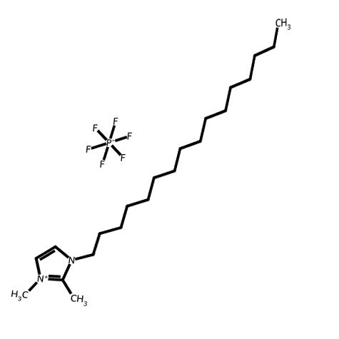 CCCCCCCCCCCCCCCCn1cc[n+](C)c1C.F[P-](F)(F)(F)(F)F